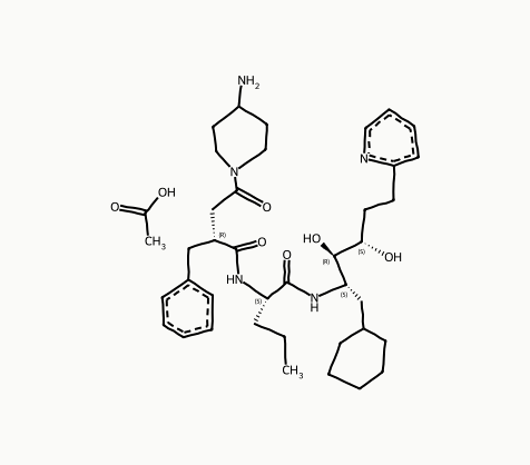 CC(=O)O.CCC[C@H](NC(=O)[C@@H](CC(=O)N1CCC(N)CC1)Cc1ccccc1)C(=O)N[C@@H](CC1CCCCC1)[C@@H](O)[C@@H](O)CCc1ccccn1